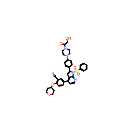 N#Cc1cc(-c2ccnc3c2cc(-c2ccc(N4CCN(C(=O)CO)CC4)cc2)n3S(=O)(=O)c2ccccc2)ccc1OC1CCOCC1